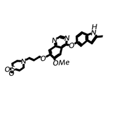 COc1cc2c(Oc3ccc4[nH]c(C)cc4c3)ncnc2cc1OCCCN1CCS(=O)(=O)CC1